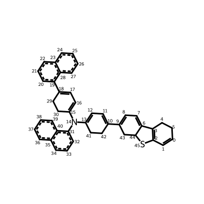 C1=CC2=C(CC1)C1=CC=C(C3=CC=C(N(C4=CC=C(c5cccc6ccccc56)CC4)c4cccc5ccccc45)CC3)CC1S2